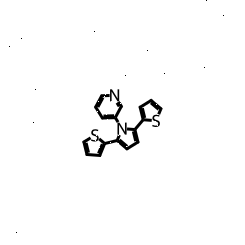 c1cncc(-n2c(-c3cccs3)ccc2-c2cccs2)c1